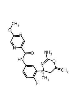 C=C1C[C@@](C)(c2cc(NC(=O)c3cnc(OC)cn3)ccc2F)N=C(N)O1